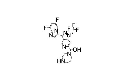 OC(c1cc2c(cn1)c(-c1cnc3c(F)cc(F)cn13)nn2CC(F)(F)F)N1CCCNCC1